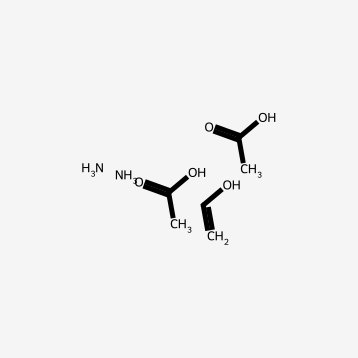 C=CO.CC(=O)O.CC(=O)O.N.N